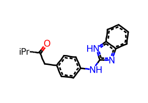 CC(C)C(=O)Cc1ccc(Nc2nc3ccccc3[nH]2)cc1